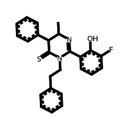 CC1N=C(c2cccc(F)c2O)N(CCc2ccccc2)C(=S)C1c1ccccc1